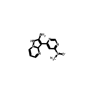 C[S+]([O-])c1cc(C2=C(N)NN3C=CC=NC23)ncn1